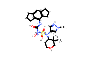 Cn1cc(N(C2CCOCC2(C)C)S(=O)(=O)[NH+]([O-])C(=O)Nc2c3c(cc4c2CCC4)CCC3)cn1